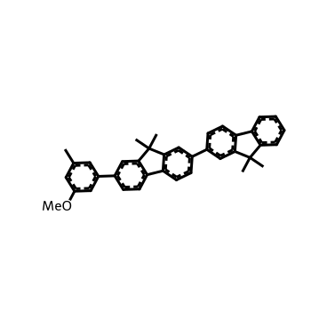 COc1cc(C)cc(-c2ccc3c(c2)C(C)(C)c2cc(-c4ccc5c(c4)C(C)(C)c4ccccc4-5)ccc2-3)c1